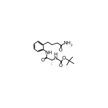 C[C@@H](NC(=O)OC(C)(C)C)C(=O)Nc1ccccc1CCCC(N)=O